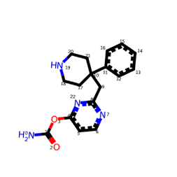 NC(=O)Oc1ccnc([CH]C2(c3ccccc3)CCNCC2)n1